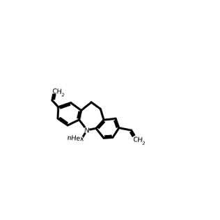 C=Cc1ccc2c(c1)CCc1cc(C=C)ccc1N2CCCCCC